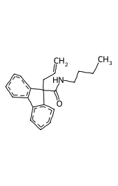 C=CCC1(C(=O)NCCCC)c2ccccc2-c2ccccc21